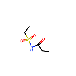 CCC(=O)NS(=O)(=O)CC